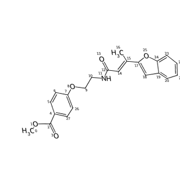 COC(=O)c1ccc(OCCNC(=O)C=C(C)c2cc3ccccc3o2)cc1